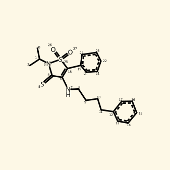 CC(C)N1C(=S)C(NCCCCc2ccccc2)=C(c2ccccc2)S1(=O)=O